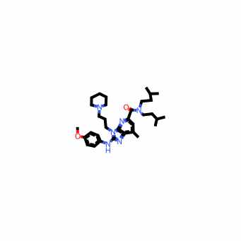 COc1ccc(Nc2nc3c(C)cc(C(=O)N(CCC(C)C)CCC(C)C)nc3n2CCCN2CCCCC2)cc1